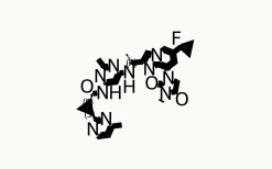 Cc1ccnc([C@H]2C[C@@H]2C(=O)Nc2cc(N[C@H](C)c3cn4cc(C5(F)CC5)cc(N5CC(=O)N(C)C5=O)c4n3)nc(C)n2)n1